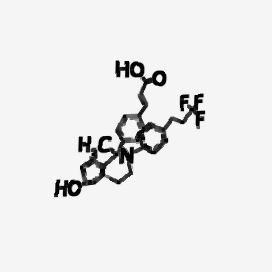 CC1(c2ccc(/C=C/C(=O)O)cc2)c2ccc(O)cc2CCN1c1ccc(CCC(F)(F)F)cc1